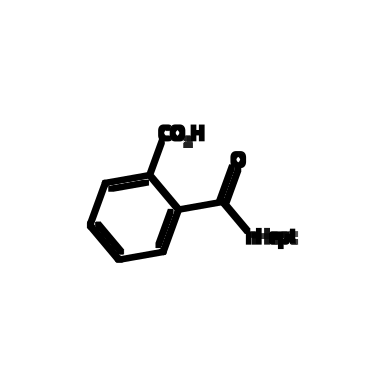 CCCCCCCC(=O)c1ccccc1C(=O)O